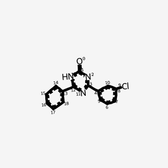 O=c1nc(-c2cccc(Cl)c2)nc(-c2ccccc2)[nH]1